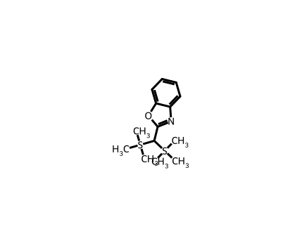 CS(C)(C)C(c1nc2ccccc2o1)S(C)(C)C